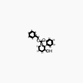 O=C(OCc1ccccc1)N1CCC[C@@H](O)[C@H]1c1ccccc1